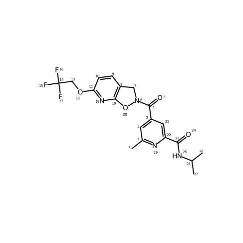 Cc1cc(C(=O)N2Cc3ccc(OCC(F)(F)F)nc3O2)cc(C(=O)NC(C)C)n1